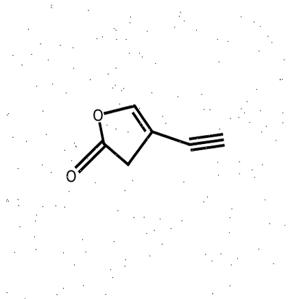 C#CC1=COC(=O)C1